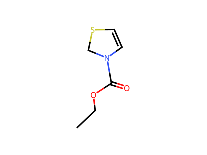 CCOC(=O)N1C=CSC1